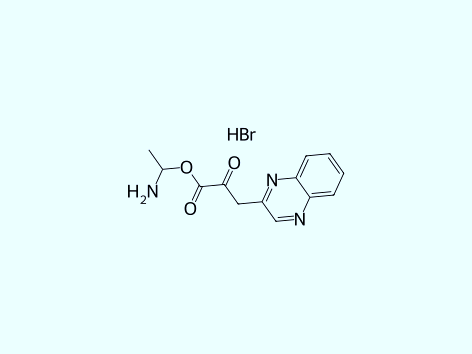 Br.CC(N)OC(=O)C(=O)Cc1cnc2ccccc2n1